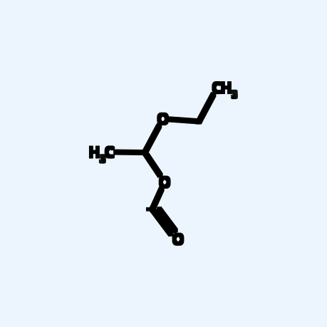 CCOC(C)O[C]=O